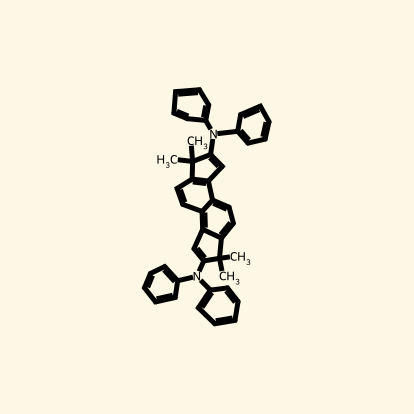 CC1(C)C(N(c2ccccc2)c2ccccc2)=Cc2c1ccc1c3c(ccc21)C(C)(C)C(N(c1ccccc1)c1ccccc1)=C3